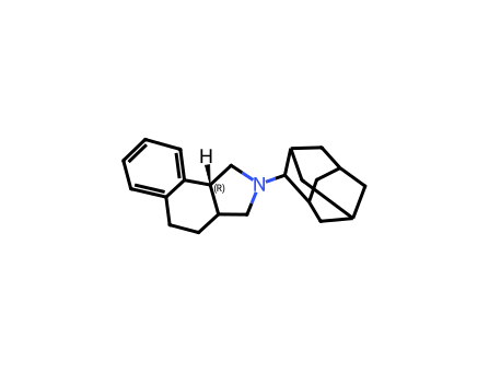 c1ccc2c(c1)CCC1CN(C3C4CC5CC(C4)CC3C5)C[C@@H]21